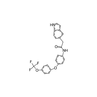 O=C(Cc1ccc2[nH]ccc2c1)Nc1ccc(Oc2ccc(OC(F)(F)F)cc2)cc1